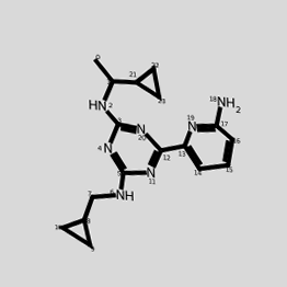 CC(Nc1nc(NCC2CC2)nc(-c2cccc(N)n2)n1)C1CC1